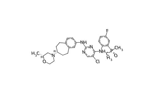 C[C@@H]1CN([C@@H]2CCc3ccc(Nc4ncc(Cl)c(Nc5ccc(F)cc5P(C)(C)=O)n4)cc3CC2)CCO1